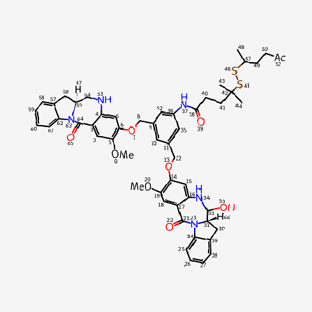 COc1cc2c(cc1OCc1cc(COc3cc4c(cc3OC)C(=O)N3c5ccccc5C[C@H]3C(O)N4)cc(NC(=O)CCC(C)(C)SSC(C)CCC(C)=O)c1)NC[C@@H]1Cc3ccccc3N1C2=O